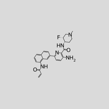 C=CC(=O)Nc1cccc2ccc(-c3ccc(N)c(C(=O)N[C@H]4CCN(C)C[C@H]4F)n3)cc12